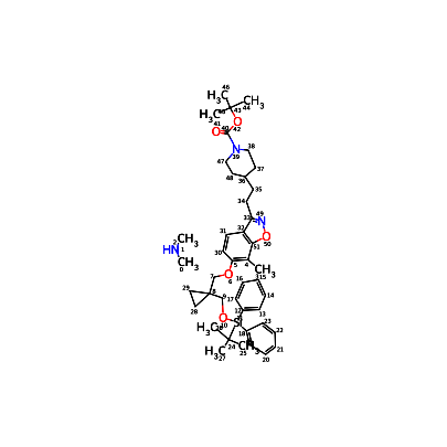 CNC.Cc1c(OCC2(CO[Si](c3ccccc3)(c3ccccc3)C(C)(C)C)CC2)ccc2c(CCC3CCN(C(=O)OC(C)(C)C)CC3)noc12